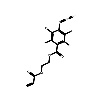 C=CC(=O)NCCNC(=O)c1c(F)c(F)c(N=[N+]=[N-])c(F)c1F